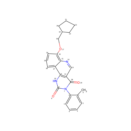 Cc1ccccc1-n1c(=O)[nH]c2c(cnc3c(OCC4CCCC4)cccc32)c1=O